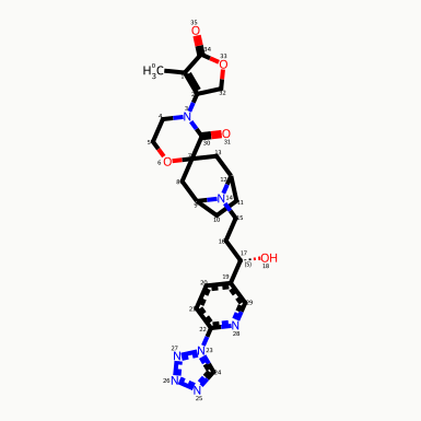 CC1=C(N2CCOC3(CC4CCC(C3)N4CC[C@H](O)c3ccc(-n4cnnn4)nc3)C2=O)COC1=O